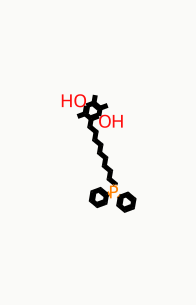 Cc1c(C)c(O)c(CCCCCCCCCCP(c2ccccc2)c2ccccc2)c(C)c1O